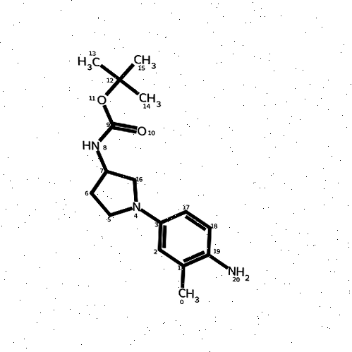 Cc1cc(N2CCC(NC(=O)OC(C)(C)C)C2)ccc1N